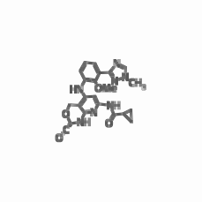 COc1c(Nc2cc(NC(=O)C3CC3)nc3c2COC(=C=O)N3)cccc1-c1ncn(C)n1